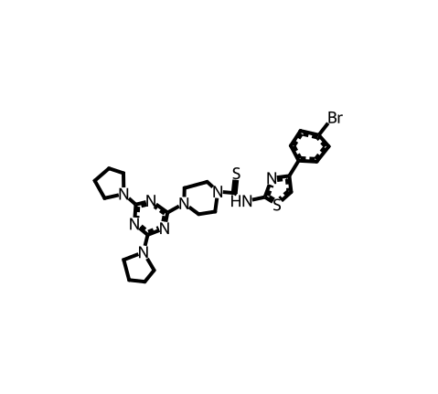 S=C(Nc1nc(-c2ccc(Br)cc2)cs1)N1CCN(c2nc(N3CCCC3)nc(N3CCCC3)n2)CC1